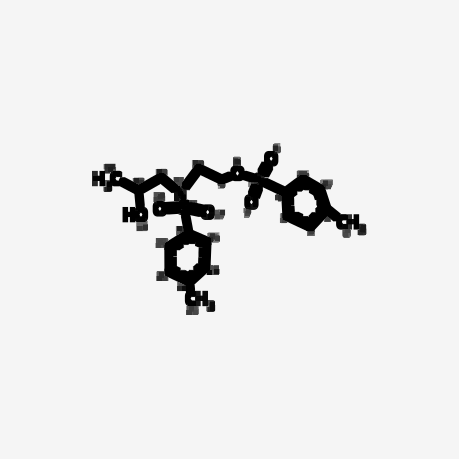 Cc1ccc(S(=O)(=O)OCCN(CC(C)O)S(=O)(=O)c2ccc(C)cc2)cc1